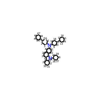 C=C(/C=C\C(=C/C)N(c1ccc(-c2ccccc2)cc1)c1ccc2c(ccc3c4ccccc4n(-c4ccccc4)c23)c1)c1ccccc1